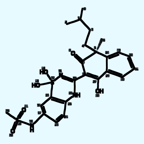 CC(C)CC[C@]1(C)C(=O)C(C2=NS(O)(O)c3cc(NS(C)(=O)=O)ccc3N2)=C(O)c2ccccc21